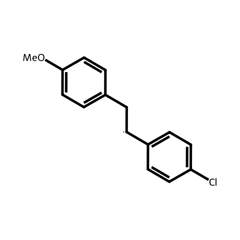 COc1ccc(C[CH]c2ccc(Cl)cc2)cc1